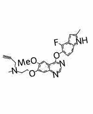 C#CCN(C)CCOc1cc2ncnc(Oc3ccc4[nH]c(C)cc4c3F)c2cc1OC